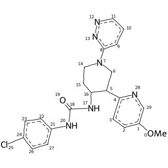 COc1ccc(C2CN(c3cccnn3)CCC2NC(=O)Nc2ccc(Cl)cc2)nc1